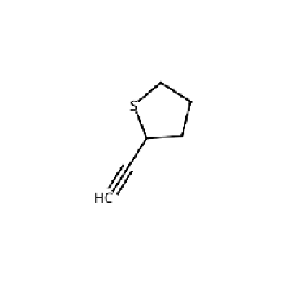 C#CC1CCCS1